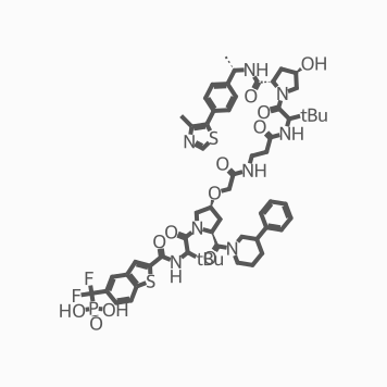 Cc1ncsc1-c1ccc([C@H](C)NC(=O)[C@@H]2C[C@@H](O)CN2C(=O)C(NC(=O)CCNC(=O)CO[C@H]2C[C@@H](C(=O)N3CCCC(c4ccccc4)C3)N(C(=O)C(NC(=O)c3cc4cc(C(F)(F)P(=O)(O)O)ccc4s3)C(C)(C)C)C2)C(C)(C)C)cc1